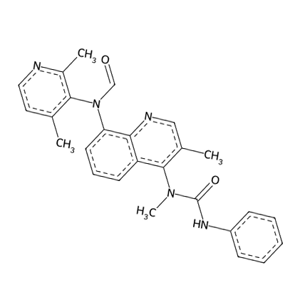 Cc1ccnc(C)c1N(C=O)c1cccc2c(N(C)C(=O)Nc3ccccc3)c(C)cnc12